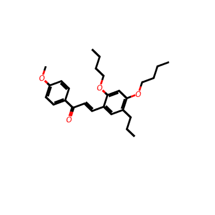 CCCCOc1cc(OCCCC)c(CCC)cc1C=CC(=O)c1ccc(OC)cc1